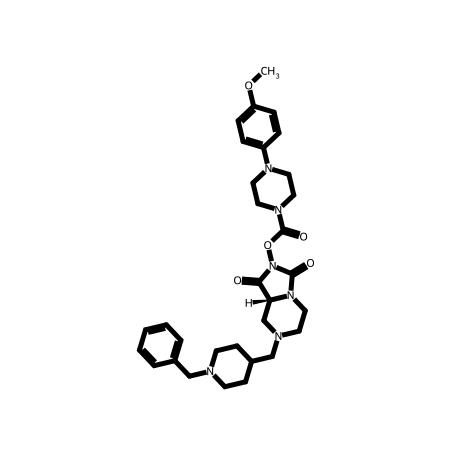 COc1ccc(N2CCN(C(=O)ON3C(=O)[C@H]4CN(CC5CCN(Cc6ccccc6)CC5)CCN4C3=O)CC2)cc1